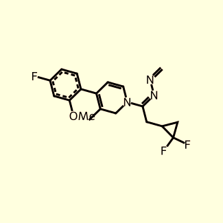 C=N/N=C(/CC1CC1(F)F)N1C=CC(c2ccc(F)cc2OC)=C(C)C1